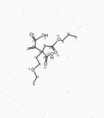 C=C(C(=O)O)C(CCOCC)(CC(=O)OCCC)C(=O)O